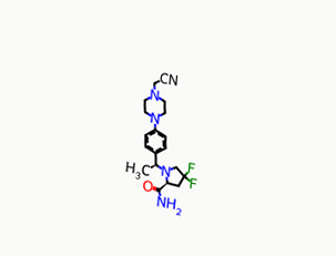 C[C@@H](c1ccc(N2CCN(CC#N)CC2)cc1)N1CC(F)(F)C[C@H]1C(N)=O